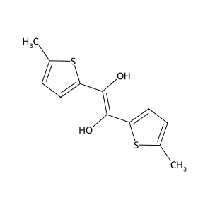 Cc1ccc(/C(O)=C(\O)c2ccc(C)s2)s1